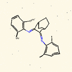 Cc1cccc(C)c1N=C1C(=Nc2c(C(C)C)cccc2C(C)C)C2CCC1C2